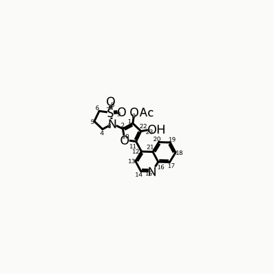 CC(=O)Oc1c(N2CCCS2(=O)=O)oc(-c2ccnc3ccccc23)c1O